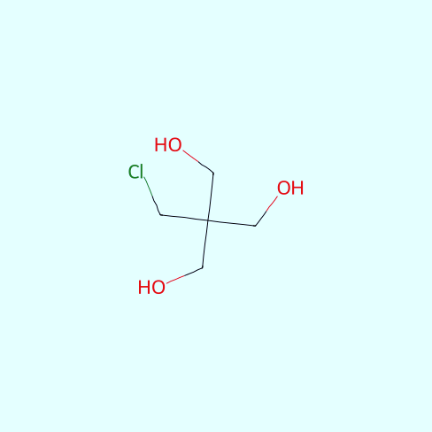 OCC(CO)(CO)CCl